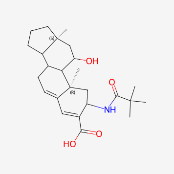 CC(C)(C)C(=O)NC1C[C@@]2(C)C(=CCC3C4CCC[C@@]4(C)CC(O)C32)C=C1C(=O)O